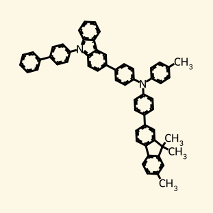 Cc1ccc(N(c2ccc(-c3ccc4c(c3)C(C)(C)c3cc(C)ccc3-4)cc2)c2ccc(-c3ccc4c(c3)c3ccccc3n4-c3ccc(-c4ccccc4)cc3)cc2)cc1